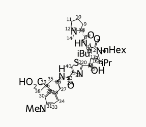 CCCCCCN(C(=O)[C@@H](NC(=O)[C@H]1CCCCN1C)[C@@H](C)CC)[C@H](C[C@@H](O)c1nc(C(=O)N[C@@H](Cc2ccc(NC)cc2)CC(C)(C)C(=O)O)cs1)C(C)C